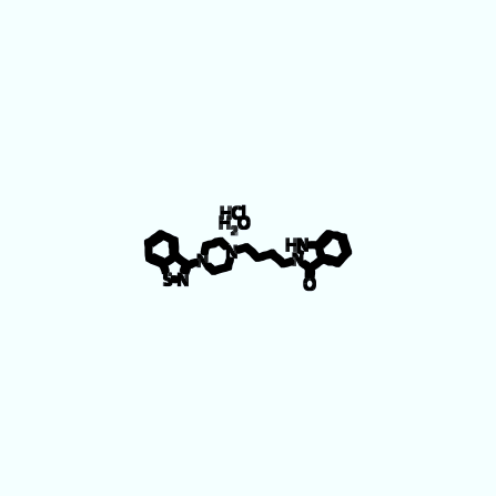 Cl.O.O=c1c2ccccc2[nH]n1CCCCN1CCN(c2nsc3ccccc23)CC1